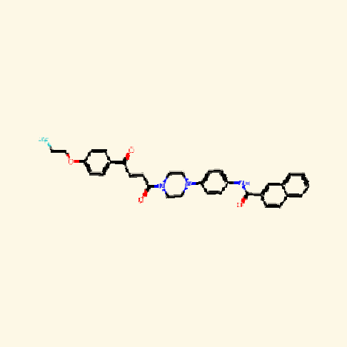 O=C(CCC(=O)N1CCN(c2ccc(NC(=O)c3ccc4ccccc4c3)cc2)CC1)c1ccc(OCC[18F])cc1